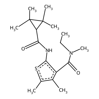 CCN(C)C(=O)c1c(NC(=O)C2C(C)(C)C2(C)C)sc(C)c1C